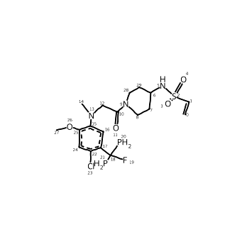 C=CS(=O)(=O)NC1CCN(C(=O)CN(C)c2cc(C(F)(P)P)c(Cl)cc2OC)CC1